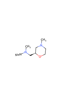 CNN(C)C[C@H]1CN(C)CCO1